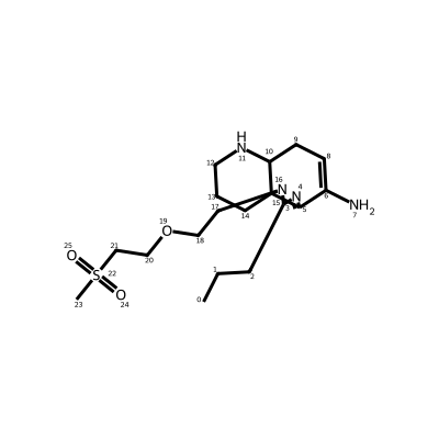 CCCC1N=C2C(N)=CCC3NCCCC23N1CCOCCS(C)(=O)=O